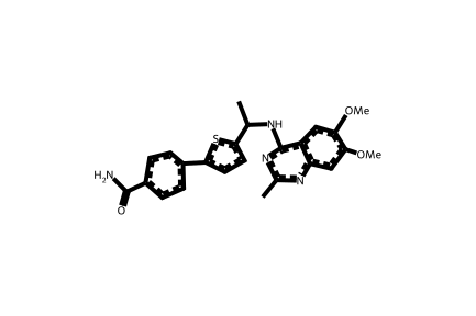 COc1cc2nc(C)nc(NC(C)c3ccc(-c4ccc(C(N)=O)cc4)s3)c2cc1OC